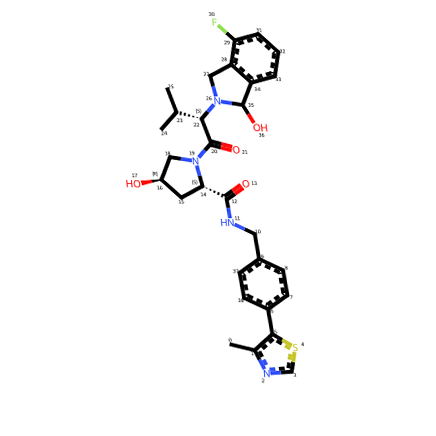 Cc1ncsc1-c1ccc(CNC(=O)[C@@H]2C[C@@H](O)CN2C(=O)[C@H](C(C)C)N2Cc3c(F)cccc3C2O)cc1